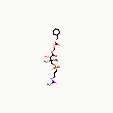 CC(=O)NCCCS(=O)(=O)OCC(C)(C)[C@@H](O)C(=O)OCOC(=O)OCC1CCCCC1